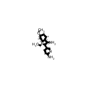 CCn1c(-c2ccc(N)nc2)c(N)c2ccc(OC)cc21